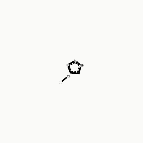 CCO.c1c[nH]nn1